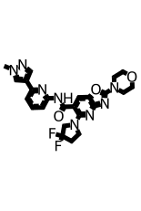 Cn1cc(-c2cccc(NC(=O)c3cc4oc(N5CCOCC5)nc4nc3N3CCC(F)(F)C3)n2)cn1